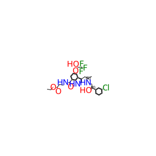 CCOC(=O)CCNC(=O)c1cccc2c(C[C@@H](C)NC[C@H](O)c3cccc(Cl)c3)c[nH]c12.O=C(O)C(F)(F)F